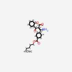 CCCCCCCCCCCCCCOC(=O)c1ccc(/C(N)=C2/C(=O)Oc3ccccc3C2=O)cc1